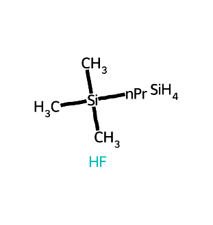 CCC[Si](C)(C)C.F.[SiH4]